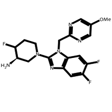 COc1cnc(Cn2c(N3CCC(F)[C@H](N)C3)nc3cc(F)c(F)cc32)nc1